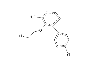 Cc1cccc(-c2ccc(Cl)cc2)c1OCCCl